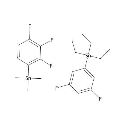 C[CH2][Sn]([CH2]C)([CH2]C)[c]1cc(F)cc(F)c1.[CH3][Sn]([CH3])([CH3])[c]1ccc(F)c(F)c1F